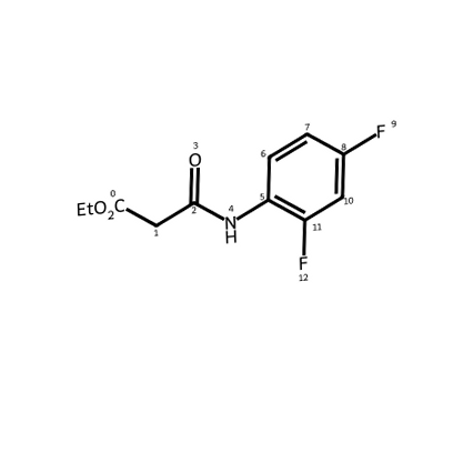 CCOC(=O)CC(=O)Nc1ccc(F)cc1F